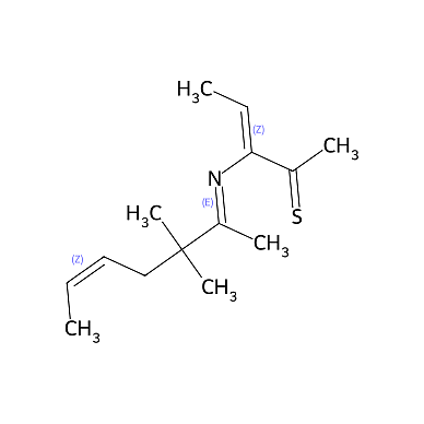 C/C=C\CC(C)(C)/C(C)=N/C(=C\C)C(C)=S